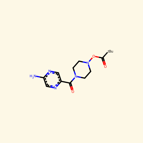 CC(C)(C)C(=O)ON1CCN(C(=O)c2cnc(N)cn2)CC1